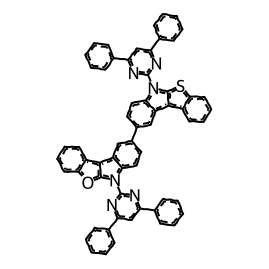 c1ccc(-c2cc(-c3ccccc3)nc(-n3c4ccc(-c5ccc6c(c5)c5c7ccccc7sc5n6-c5nc(-c6ccccc6)cc(-c6ccccc6)n5)cc4c4c5ccccc5oc43)n2)cc1